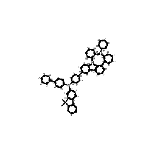 CC1(C)c2ccccc2-c2ccc(N(c3ccc(-c4ccccc4)cc3)c3ccc(-c4ccc5c(c4)c4cccc6c7ccccc7n(-c7ccccc7)c7ccccc7n5c64)cc3)cc21